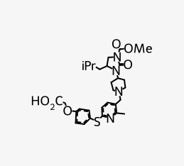 COC(=O)N1CC(CC(C)C)N(C2CCN(Cc3ccc(Sc4ccc(OCC(=O)O)cc4)nc3C)CC2)C1=O